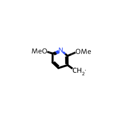 [CH2]c1ccc(OC)nc1OC